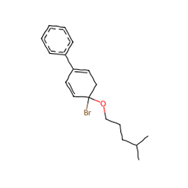 CC(C)CCCOC1(Br)C=CC(c2ccccc2)=CC1